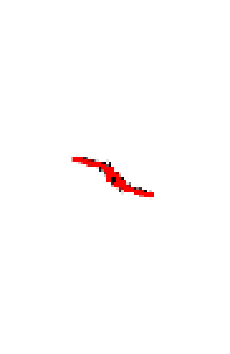 CCCCCCCCCCCCS(=O)(=O)c1ccc2c(ccc3c2ccc2c4ccc(S(=O)(=O)CCCCCCCCCCCC)cc4ccc23)c1